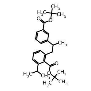 CC(C)c1cccc(CC(C)c2cccc(C(=O)OC(C)(C)C)c2)c1C(=O)OC(C)(C)C